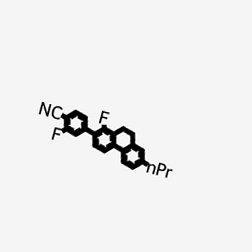 CCCc1ccc2c(c1)CCc1c-2ccc(-c2ccc(C#N)c(F)c2)c1F